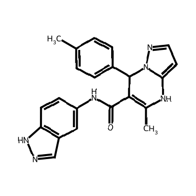 CC1=C(C(=O)Nc2ccc3[nH]ncc3c2)C(c2ccc(C)cc2)n2nccc2N1